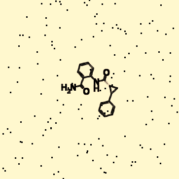 NC(=O)c1ccccc1NC(=O)[C@@H]1CC1c1ccccc1